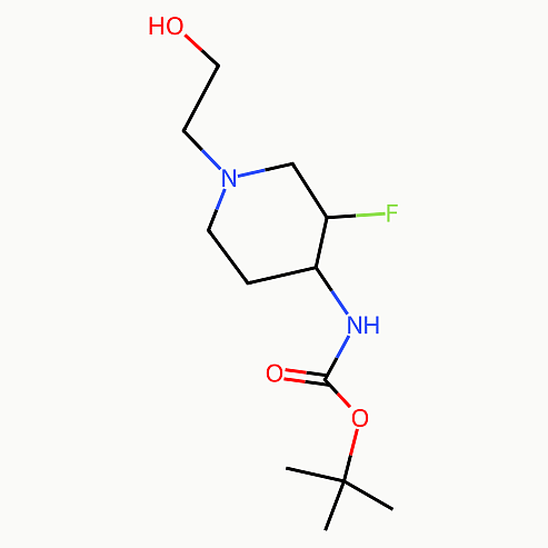 CC(C)(C)OC(=O)NC1CCN(CCO)CC1F